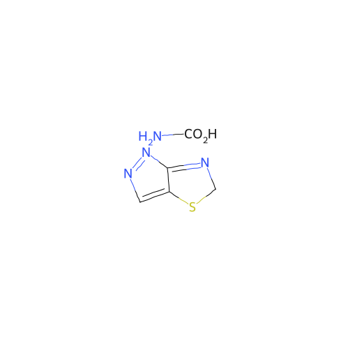 C1=C2SCN=C2N=N1.NC(=O)O